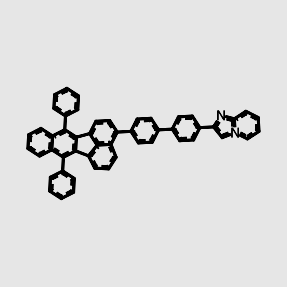 c1ccc(-c2c3c(c(-c4ccccc4)c4ccccc24)-c2ccc(-c4ccc(-c5ccc(-c6cn7ccccc7n6)cc5)cc4)c4cccc-3c24)cc1